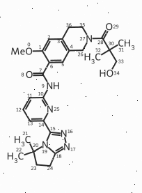 COc1cc2c(cc1C(=O)Nc1cccc(-c3nnc4n3C(C)(C)CC4)n1)CN(C(=O)C(C)(C)CO)CC2